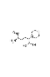 NC(CCC(C(S)S)N1CCOCC1)[S+]=O